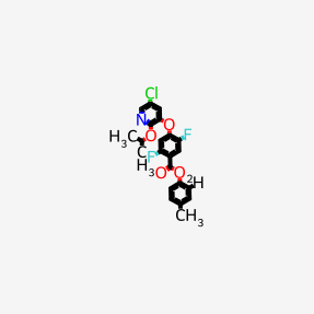 [2H]c1cc(C)ccc1OC(=O)c1cc(F)c(Oc2cc(Cl)cnc2OC(C)C)cc1F